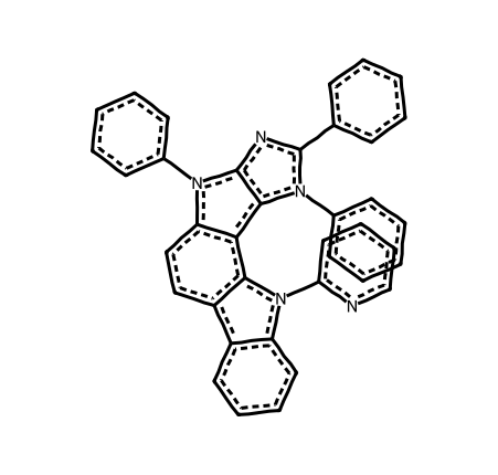 c1ccc(-c2nc3c(c4c(ccc5c6ccccc6n(-c6ccccn6)c54)n3-c3ccccc3)n2-c2ccccc2)cc1